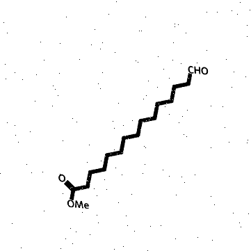 COC(=O)CCCCCCCCCCCCCC=O